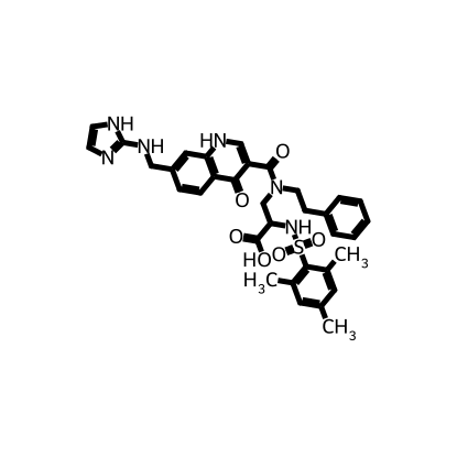 Cc1cc(C)c(S(=O)(=O)NC(CN(CCc2ccccc2)C(=O)c2c[nH]c3cc(CNc4ncc[nH]4)ccc3c2=O)C(=O)O)c(C)c1